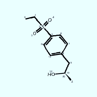 CCS(=O)(=O)c1ccc(C[C@@H](C)O)cc1